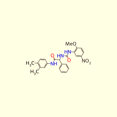 COc1ccc([N+](=O)[O-])cc1NC(=O)NC(C(=O)Nc1ccc(C)c(C)c1)c1ccccc1